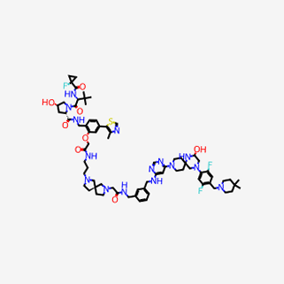 Cc1ncsc1-c1ccc(CNC(=O)[C@@H]2C[C@@H](O)CN2C(=O)[C@@H](NC(=O)C2(F)CC2)C(C)(C)C)c(OCC(=O)NCCCN2CC[C@@]3(CCN(CC(=O)NCc4cccc(CNc5cc(N6CCC7(CC6)CN(c6cc(F)c(CN8CCC(C)(C)CC8)cc6F)CC(O)N7)ncn5)c4)C3)C2)c1